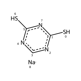 Sc1ncnc(S)n1.[Na]